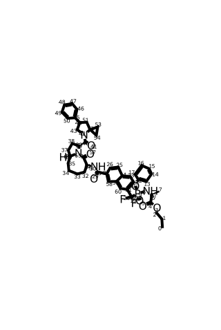 CCCOC(=O)[C@H](C)NP(=O)(Oc1ccccc1)C(F)(F)c1ccc2ccc(C(=O)N[C@H]3CCCC[C@H]4CC[C@@H](C(=O)N5CC(c6ccccc6)CC56CC6)N4C3=O)cc2c1